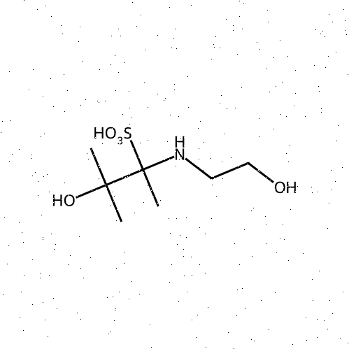 CC(C)(O)C(C)(NCCO)S(=O)(=O)O